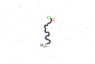 CC/C=C\C/C=C\C/C=C\C/C=C\C/C=C\CCCC1OC1Cl